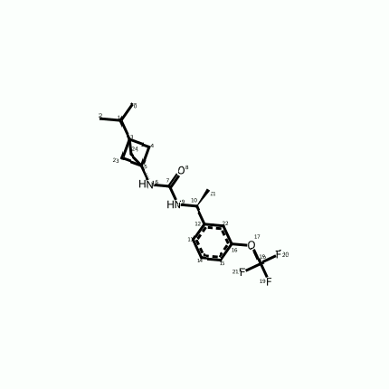 CC(C)C12CC(NC(=O)N[C@@H](C)c3cccc(OC(F)(F)F)c3)(C1)C2